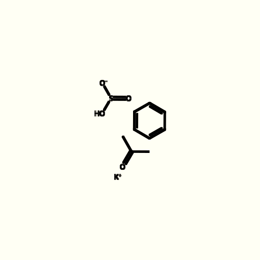 CC(C)=O.O=S([O-])O.[K+].c1ccccc1